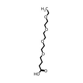 CCOCCOCCOCCOCCCC(=O)O